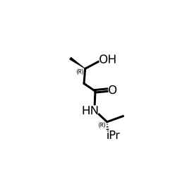 CC(C)[C@@H](C)NC(=O)C[C@@H](C)O